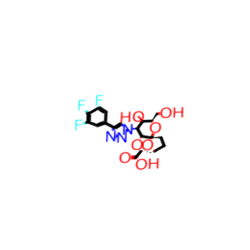 C[C@@H](O[C@@H]1[C@@H](n2cc(-c3cc(F)c(F)c(F)c3)nn2)[C@@H](O)[C@@H](CO)O[C@@]12CCCO2)C(=O)O